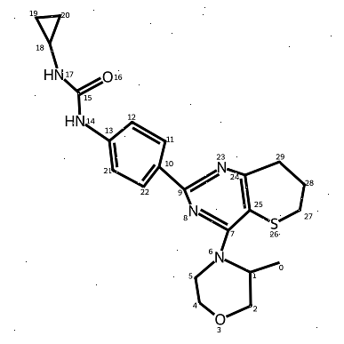 CC1COCCN1c1nc(-c2ccc(NC(=O)NC3CC3)cc2)nc2c1SCCC2